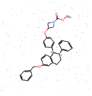 CC(C)(C)OC(=O)N1CC(Oc2ccc([C@@H]3c4ccc(OCc5ccccc5)cc4CC[C@@H]3c3ccccc3)cc2)C1